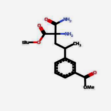 COC(=O)c1cccc(C(C)CC(N)(C(N)=O)C(=O)OC(C)(C)C)c1